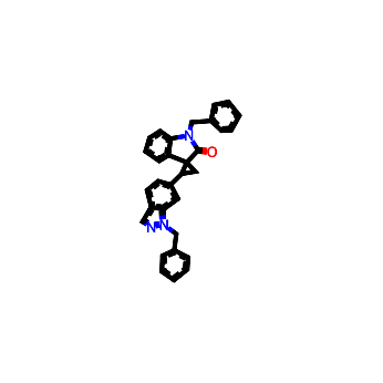 O=C1N(Cc2ccccc2)c2ccccc2C12CC2c1ccc2cnn(Cc3ccccc3)c2c1